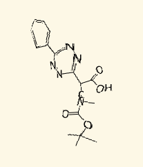 CN(CC(C(=O)O)c1nnc(-c2ccccc2)nn1)C(=O)OC(C)(C)C